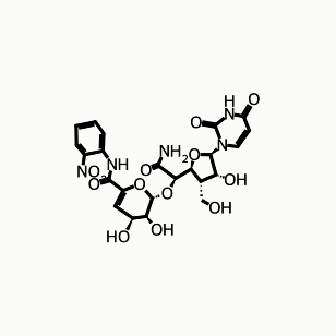 NC(=O)[C@H](O[C@H]1OC(C(=O)Nc2ccccc2[N+](=O)[O-])=C[C@H](O)[C@@H]1O)[C@H]1O[C@@H](n2ccc(=O)[nH]c2=O)[C@H](O)[C@@H]1CO